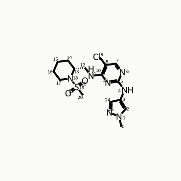 Cn1cc(Nc2ncc(Cl)c(NC[C@H]3CCCCN3S(C)(=O)=O)n2)cn1